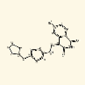 O=C1NC(=O)c2ccc(Br)cc2C1=CNc1ccc(CN2CCSC2)cc1